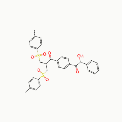 Cc1ccc(S(=O)(=O)CC(CS(=O)(=O)c2ccc(C)cc2)C(=O)c2ccc(C(=O)C(O)c3ccccc3)cc2)cc1